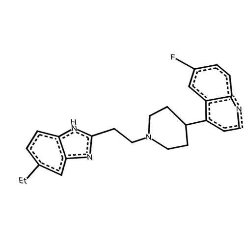 CCc1ccc2[nH]c(CCN3CCC(c4ccnc5ccc(F)cc45)CC3)nc2c1